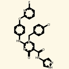 O=C(Nc1cn[nH]c1)c1cn(Cc2ccc(Cl)cc2)c(Nc2ccc(Oc3cccc(F)n3)cc2)nc1=O